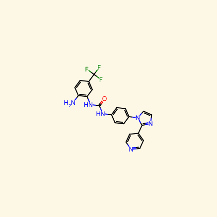 Nc1ccc(C(F)(F)F)cc1NC(=O)Nc1ccc(-n2ccnc2-c2ccncc2)cc1